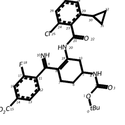 CC(C)(C)OC(=O)NC1CCC(C(=N)c2ccc(C(=O)O)cc2F)=C(NC(=O)c2c(Cl)cccc2C2CC2)C1